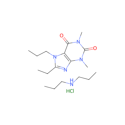 CCCNCCC.CCCn1c(CC)nc2c1c(=O)n(C)c(=O)n2C.Cl